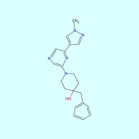 Cn1cc(-c2cncc(N3CCC(O)(Cc4ccccc4)CC3)n2)cn1